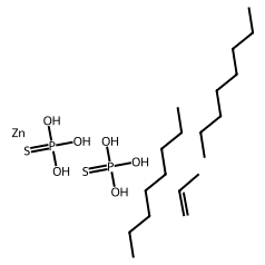 C=CC.CCCCCCCC.CCCCCCCC.OP(O)(O)=S.OP(O)(O)=S.[Zn]